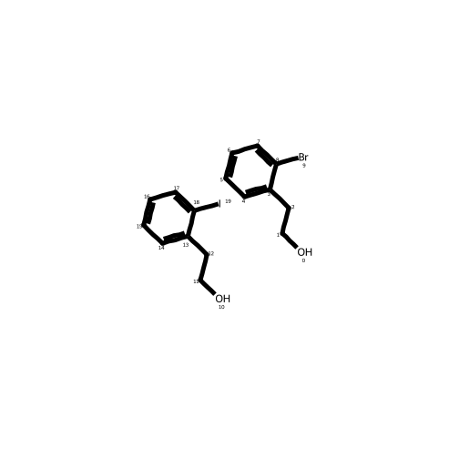 OCCc1ccccc1Br.OCCc1ccccc1I